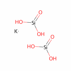 O=[Si](O)O.O=[Si](O)O.[K]